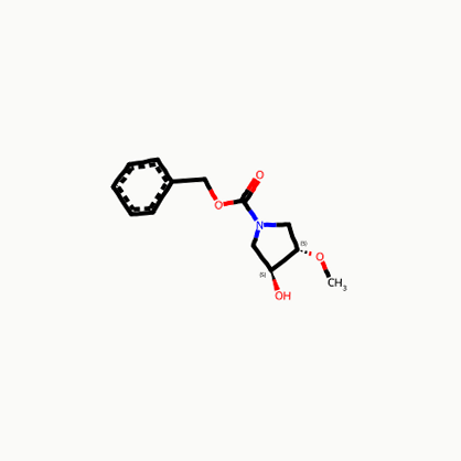 CO[C@H]1CN(C(=O)OCc2ccccc2)C[C@@H]1O